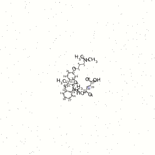 CN(C)CCCOc1ccc(C2(C)Sc3ccccc3N(C)C2=O)cc1.O=C(O)/C=C/C(=O)O